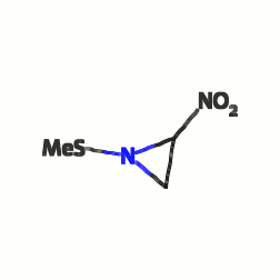 CSN1CC1[N+](=O)[O-]